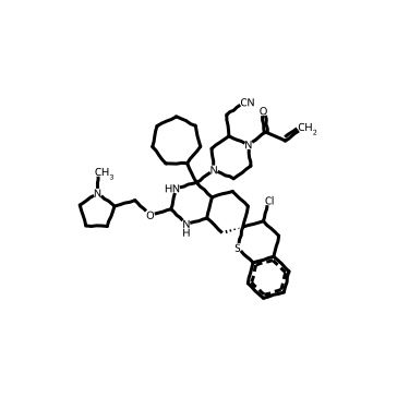 C=CC(=O)N1CCN(C2(C3CCCCCC3)NC(OCC3CCCN3C)NC3C[C@@]4(CCC32)Sc2ccccc2CC4Cl)CC1CC#N